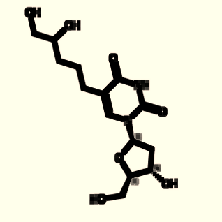 O=c1[nH]c(=O)n([C@H]2C[C@H](O)[C@@H](CO)O2)cc1CCCC(O)CO